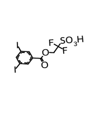 O=C(OCC(F)(F)S(=O)(=O)O)c1cc(I)cc(I)c1